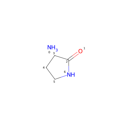 N.O=C1CCCN1